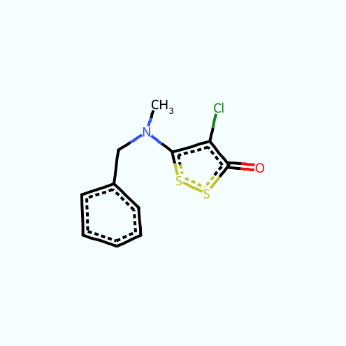 CN(Cc1ccccc1)c1ssc(=O)c1Cl